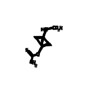 NC(=S)OC12CC(NC(=O)O)(C1)C2